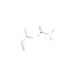 C=CC(C)OC(=O)N(F)F